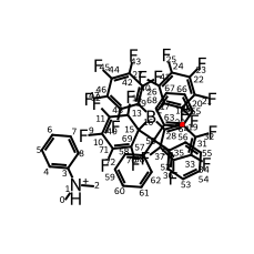 C[NH+](C)c1ccccc1.FC1=C(F)C(F)C([B-](c2c(F)c(F)c(F)c(F)c2F)(c2c(F)c(F)c(F)c(F)c2F)c2c(F)c(F)c(F)c(F)c2F)(C(c2ccccc2)(c2ccccc2)c2ccccc2)C(F)=C1F